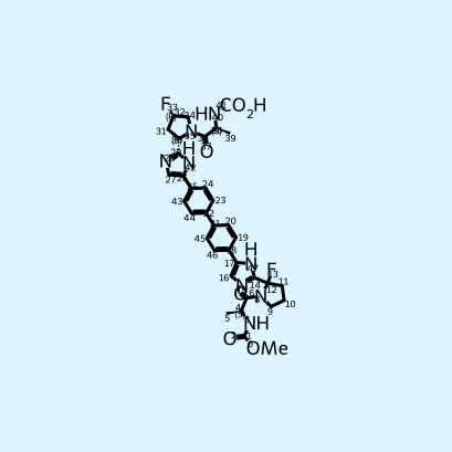 COC(=O)N[C@@H](C)C(=O)N1CCCC1(F)c1ncc(-c2ccc(-c3ccc(-c4cnc([C@@H]5C[C@@H](F)CN5C(=O)[C@H](C)NC(=O)O)[nH]4)cc3)cc2)[nH]1